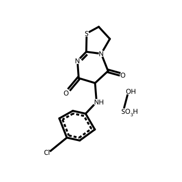 O=C1N=C2SCCN2C(=O)C1Nc1ccc(Cl)cc1.O=S(=O)(O)O